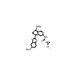 CNc1ncc(-c2nc3cc(OC)ccc3o2)c2cc(NC(=O)[C@@H]3C[C@@H]3C(F)(F)F)ncc12